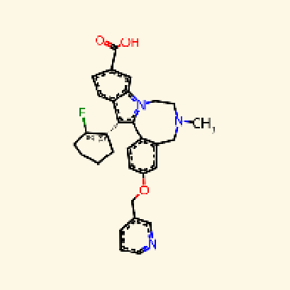 CN1CCn2c(c([C@@H]3CCCC[C@H]3F)c3ccc(C(=O)O)cc32)-c2ccc(OCc3cccnc3)cc2C1